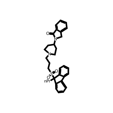 CCCC1(S(=O)(=O)CCCN2CCC(N3Cc4ccccc4C3=O)CC2)c2ccccc2-c2ccccc21